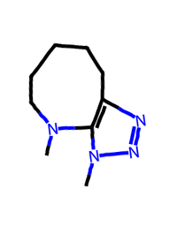 CN1CCCCCc2nnn(C)c21